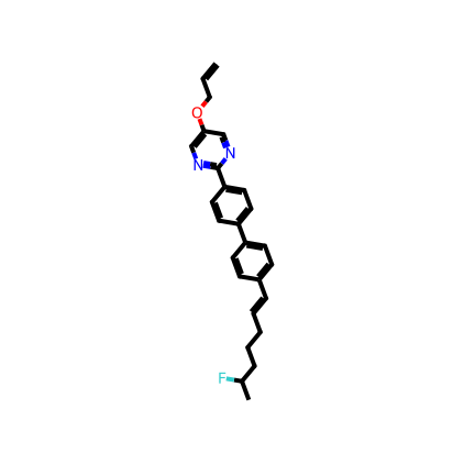 C=CCOc1cnc(-c2ccc(-c3ccc(/C=C/CCCC(C)F)cc3)cc2)nc1